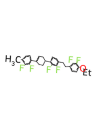 CCOc1ccc(CCc2ccc(C3CC=C(c4ccc(C)c(F)c4F)CC3)c(F)c2F)c(F)c1F